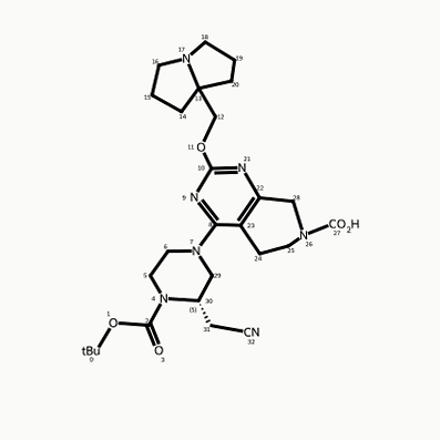 CC(C)(C)OC(=O)N1CCN(c2nc(OCC34CCCN3CCC4)nc3c2CCN(C(=O)O)C3)C[C@@H]1CC#N